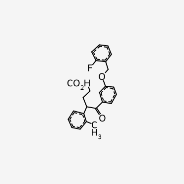 Cc1ccccc1C(CCC(=O)O)C(=O)c1cccc(OCc2ccccc2F)c1